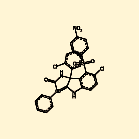 O=C(NC1(c2ccccc2Cl)C(=O)Nc2ccc(Cl)c(S(=O)(=O)c3ccc([N+](=O)[O-])cc3)c21)Oc1ccccc1